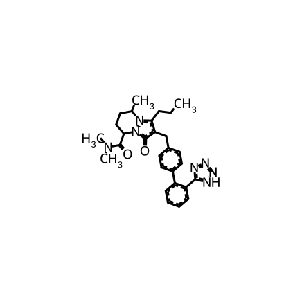 CCCc1c(Cc2ccc(-c3ccccc3-c3nnn[nH]3)cc2)c(=O)n2n1C(C)CCC2C(=O)N(C)C